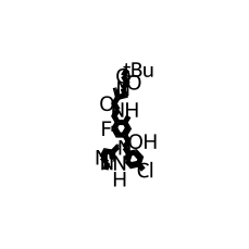 CC1C=C(C(O)N2Cc3cnn(C)c3Nc3cc(Cl)ccc32)C=C(F)C1CNC(=O)C1CN(C(=O)OC(C)(C)C)C1